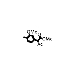 COC(=O)C(C(C)=O)c1ccc(C)c(OC)c1